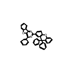 c1ccc(-c2nc(-c3ccc4c(c3)C(c3ccccc3)(c3ccccc3)c3ccccc3O4)nc3c2oc2ccccc23)cc1